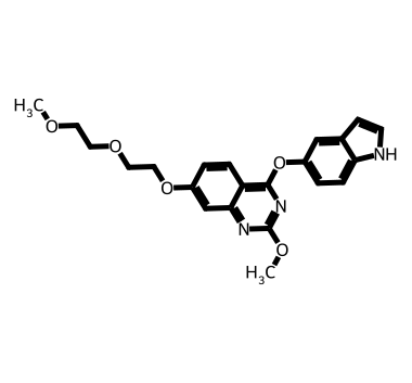 COCCOCCOc1ccc2c(Oc3ccc4[nH]ccc4c3)nc(OC)nc2c1